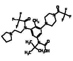 Cc1c(N2CCN(C(=O)C(F)(F)F)CC2)cc(N(C(=O)O)C(C)(C)C)cc1N(CCN1CCCC1)C(=O)C(F)(F)F